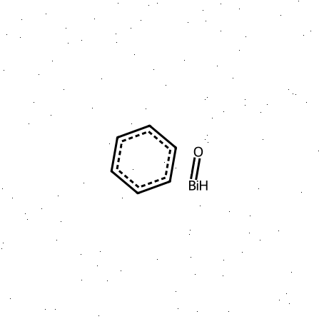 [O]=[BiH].c1ccccc1